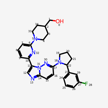 OCC1CCN(c2cccc(-c3cnc4ccc(N5CCCC5c5cccc(F)c5)nn34)n2)CC1